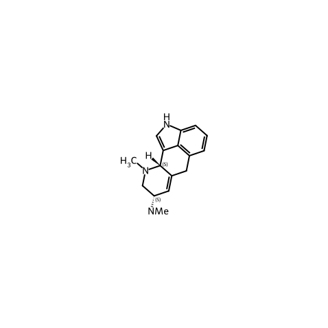 CN[C@H]1C=C2Cc3cccc4[nH]cc(c34)[C@H]2N(C)C1